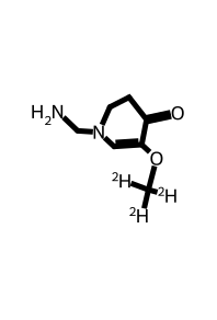 [2H]C([2H])([2H])OC1=CN(CN)CCC1=O